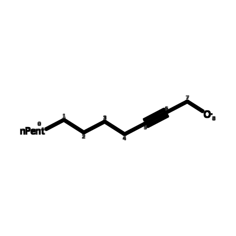 CCCCCCCCCC#CC[O]